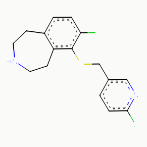 Cl.Clc1ccc(CSc2c(Cl)ccc3c2CCNCC3)cn1